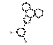 Brc1cc(Br)cc(-c2nc3c4ccccc4c4ccccc4c3o2)c1